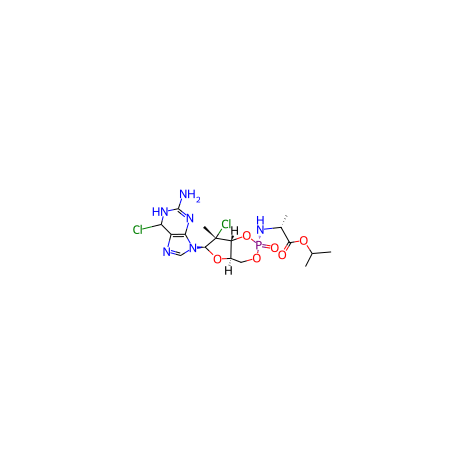 CC(C)OC(=O)[C@@H](C)N[P@]1(=O)OC[C@H]2O[C@@H](n3cnc4c3N=C(N)NC4Cl)[C@](C)(Cl)[C@@H]2O1